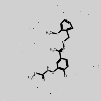 COC(=O)NOc1cc(/C(C)=N/OCc2ccccc2SC)ccc1Cl